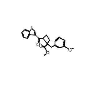 COC(=O)C1(Cc2cccc(OC)c2)CCC1C(=O)c1csc2ccccc12